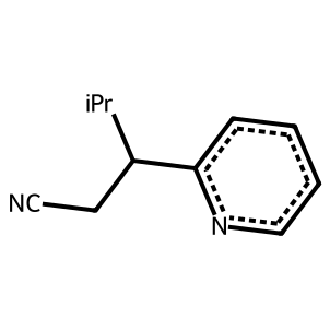 CC(C)C(CC#N)c1ccccn1